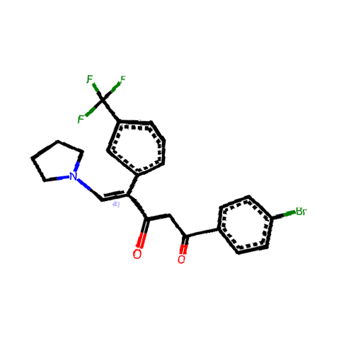 O=C(CC(=O)c1ccc(Br)cc1)/C(=C/N1CCCC1)c1cccc(C(F)(F)F)c1